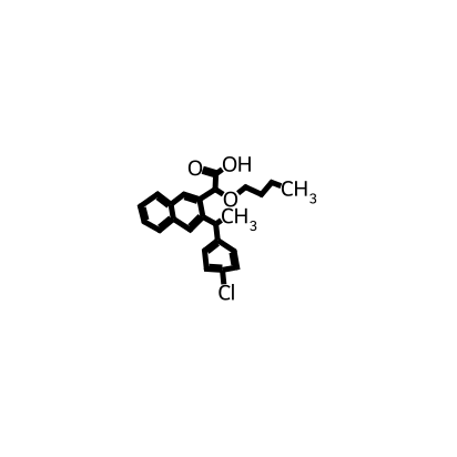 CCCCOC(C(=O)O)c1cc2ccccc2cc1C(C)c1ccc(Cl)cc1